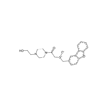 O=C(C[S+]([O-])Cc1ccc2oc3ccccc3c2c1)N1CCN(CCO)CC1